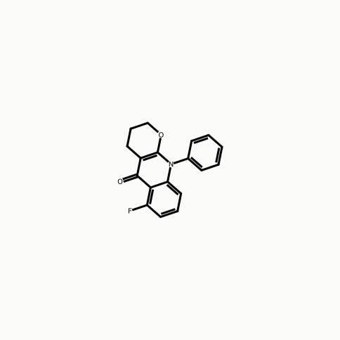 O=c1c2c(n(-c3ccccc3)c3cccc(F)c13)OCCC2